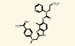 Cc1c(OC(=O)N(CCC(=O)O)c2cccnc2)ccc2[nH]c(CN(C)c3ccc(C(=N)N)cc3)nc12